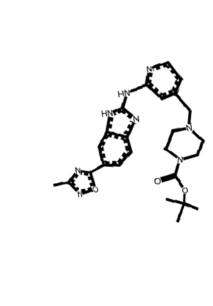 Cc1noc(-c2ccc3nc(Nc4cc(CN5CCN(C(=O)OC(C)(C)C)CC5)ccn4)[nH]c3c2)n1